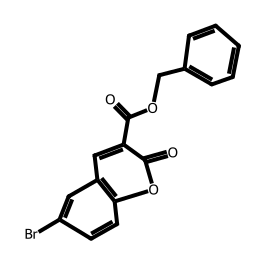 O=C(OCc1ccccc1)c1cc2cc(Br)ccc2oc1=O